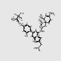 CN(C)Cc1cn2c(NCCC3([N+](=O)[O-])C=CC(N)=NC3N)nc(-c3ccc(Cl)cc3Cl)cc2n1.O=C(O)C(F)(F)F